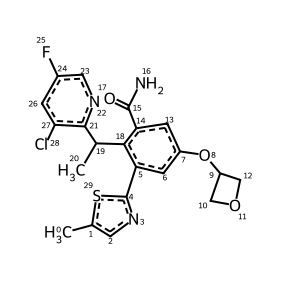 Cc1cnc(-c2cc(OC3COC3)cc(C(N)=O)c2C(C)c2ncc(F)cc2Cl)s1